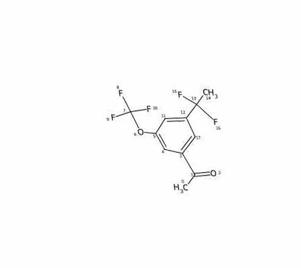 CC(=O)c1cc(OC(F)(F)F)cc(C(C)(F)F)c1